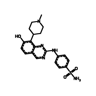 CN1CCC(c2c(O)ccc3cnc(Nc4ccc(S(N)(=O)=O)cc4)nc23)CC1